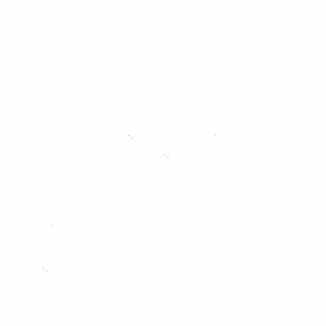 N#CC(N)Cc1ccc(-c2noc(-c3cn4cc(C(F)(F)F)cc(Cl)c4n3)n2)c(Cl)c1